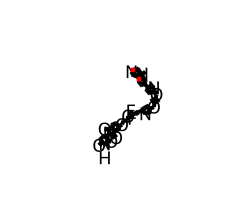 Cn1c2ccncc2c2ccc(-c3ccc(OC4CC(Oc5ccc(C#CC(F)(F)OCCOc6ccc7c(c6)C(=O)N(C6CCC(=O)NC6=O)C7=O)nc5)C4)nc3)cc21